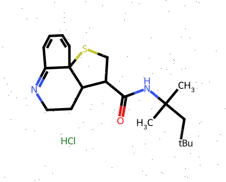 CC(C)(C)CC(C)(C)NC(=O)C1CSC23C=CC=CC2=NCCC13.Cl